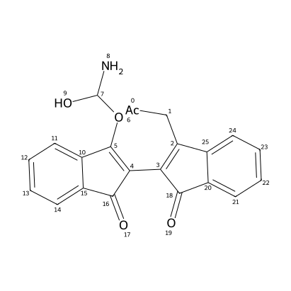 CC(=O)CC1=C(C2=C(OC(N)O)c3ccccc3C2=O)C(=O)c2ccccc21